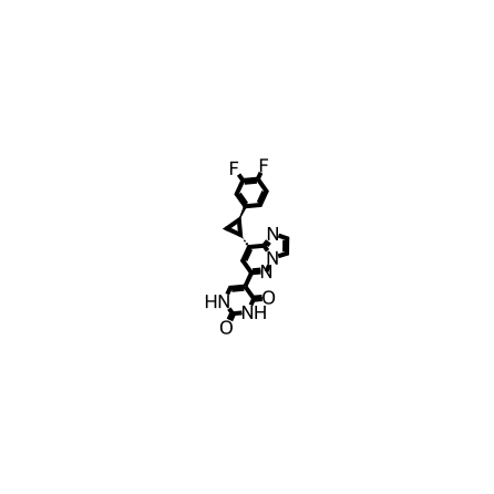 O=c1[nH]cc(-c2cc([C@@H]3C[C@H]3c3ccc(F)c(F)c3)c3nccn3n2)c(=O)[nH]1